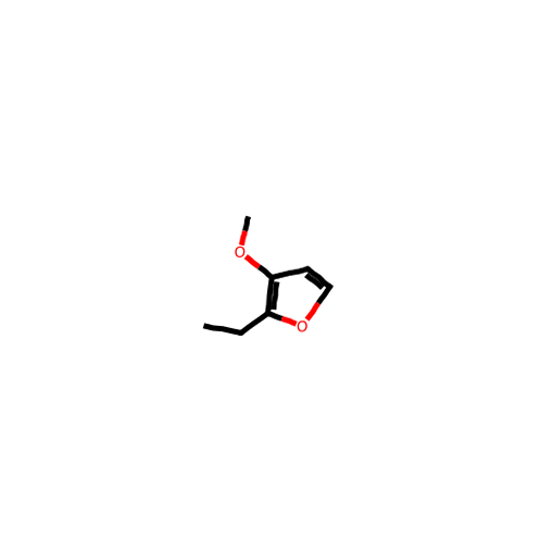 CCc1occc1OC